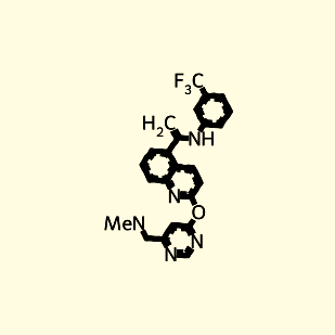 C=C(Nc1cccc(C(F)(F)F)c1)c1cccc2nc(Oc3cc(CNC)ncn3)ccc12